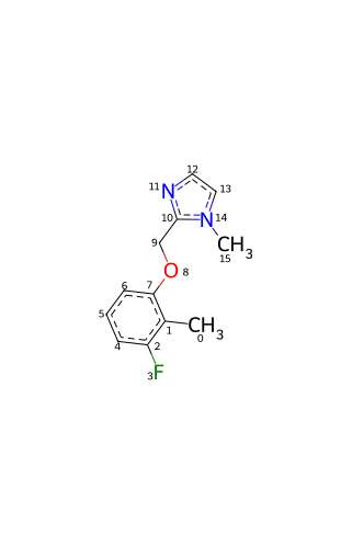 Cc1c(F)cccc1OCc1nccn1C